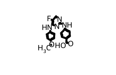 COc1ccc(Nc2nc(Nc3ccc(C(=O)O)cc3)ncc2F)cc1